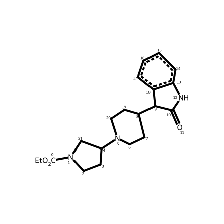 CCOC(=O)N1CCC(N2CCC(C3C(=O)Nc4ccccc43)CC2)C1